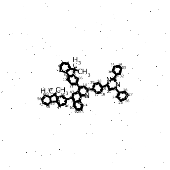 CC1(C)c2ccccc2-c2ccc(-c3cc(-c4ccc(-c5cc(-c6ccccc6)nc(-c6ccccc6)n5)cc4)nc4c3cc(-c3ccc5c(c3)C(C)(C)C3C=CC=CC53)c3ccccc34)cc21